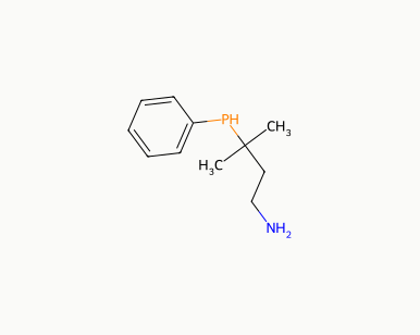 CC(C)(CCN)Pc1ccccc1